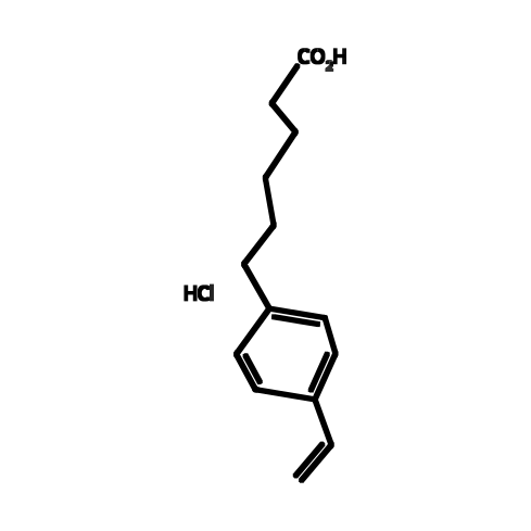 C=Cc1ccc(CCCCCC(=O)O)cc1.Cl